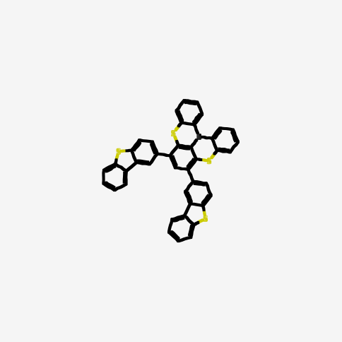 c1ccc2c(c1)Sc1c(-c3ccc4sc5ccccc5c4c3)cc(-c3ccc4sc5ccccc5c4c3)c3c1B2c1ccccc1S3